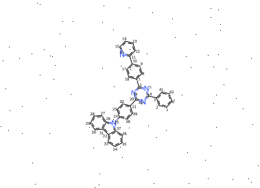 c1ccc(-c2nc(-c3ccc(-c4ccccn4)cc3)nc(-c3ccc(-n4c5ccccc5c5ccccc54)cc3)n2)cc1